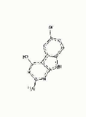 N#Cc1ccc2[nH]c3nc(N)nc(O)c3c2c1